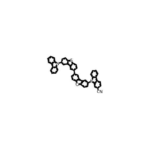 N#Cc1ccc2c3ccccc3n(-c3ccc4oc5ccc(-c6ccc7sc8ccc(-n9c%10ccccc%10c%10ccccc%109)cc8c7c6)cc5c4c3)c2c1